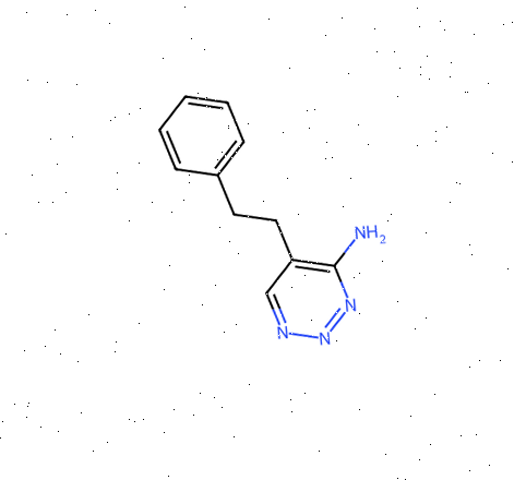 Nc1nnncc1CCc1ccccc1